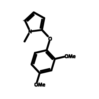 COc1ccc(Oc2cc[c]n2C)c(OC)c1